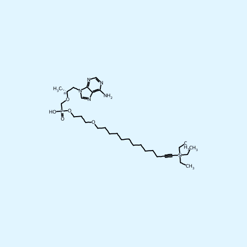 CC[Si](C#CCCCCCCCCCCCOCCCOP(=O)(O)CO[C@H](C)Cn1cnc2c(N)ncnc21)(CC)CC